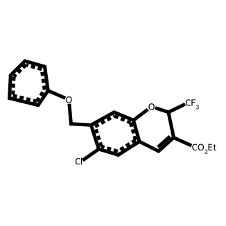 CCOC(=O)C1=Cc2cc(Cl)c(COc3ccccc3)cc2OC1C(F)(F)F